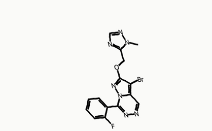 Cn1ncnc1COc1nn2c(-c3ccccc3F)nncc2c1Br